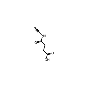 N#CNC(=O)CCC(=O)O